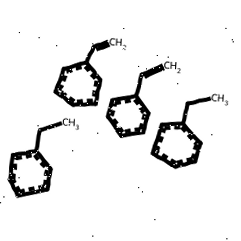 C=Cc1ccccc1.C=Cc1ccccc1.CCc1ccccc1.CCc1ccccc1